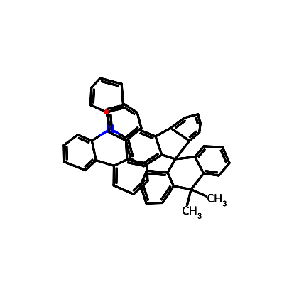 CC1(C)c2ccccc2C2(c3ccccc3-c3cc(N(c4ccccc4)c4ccccc4-c4ccccc4-c4ccccc4)ccc32)c2ccccc21